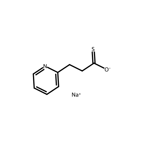 [Na+].[O-]C(=S)CCc1ccccn1